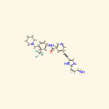 N=C/C=C\c1ncc(C#Cc2cncc(C(=O)Nc3ccc(CN4CCCCC4)c(C(F)(F)F)c3)c2)[nH]1